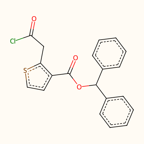 O=C(Cl)Cc1sccc1C(=O)OC(c1ccccc1)c1ccccc1